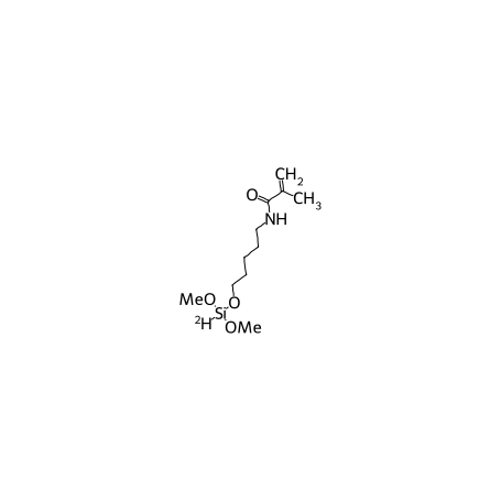 [2H][Si](OC)(OC)OCCCCCNC(=O)C(=C)C